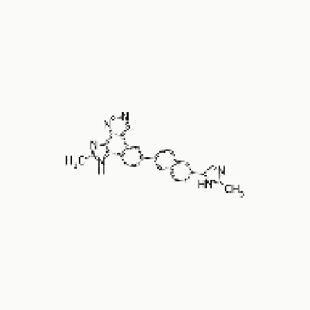 Cc1ncc(-c2ccc3cc(-c4ccc5c(c4)c4cncnc4c4nc(C)[nH]c54)ccc3c2)[nH]1